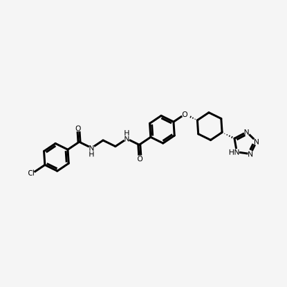 O=C(NCCNC(=O)c1ccc(O[C@H]2CC[C@@H](c3nnn[nH]3)CC2)cc1)c1ccc(Cl)cc1